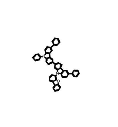 c1ccc(-c2ccc3c(c2)c2cc(-c4ccc5c6cc(-c7ccccc7)ccc6n(-c6cccc7c6oc6ccccc67)c5c4)ccc2n3-c2ccccc2)cc1